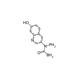 BC(=O)N(P)c1cnc2cc(O)ccc2c1